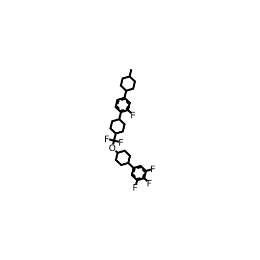 CC1CCC(c2ccc(C3CCC(C(F)(F)OC4CCC(c5cc(F)c(F)c(F)c5)CC4)CC3)c(F)c2)CC1